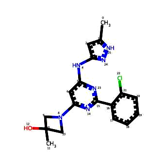 Cc1cc(Nc2cc(N3CC(C)(O)C3)nc(-c3ccccc3Cl)n2)n[nH]1